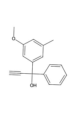 C#CC(O)(c1ccccc1)c1cc(C)cc(OC)c1